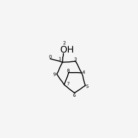 CC1(O)CC2CCC(C2)C1